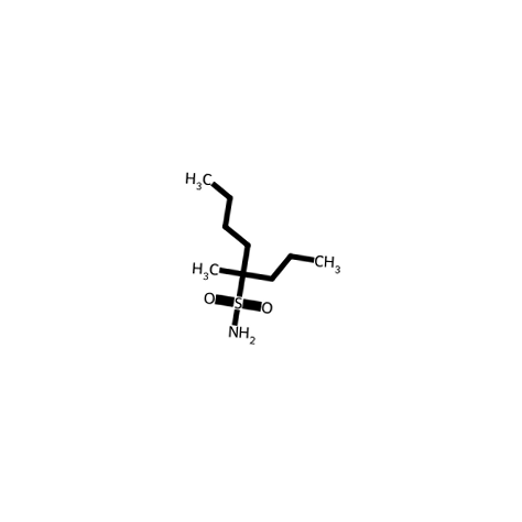 CCCCC(C)(CCC)S(N)(=O)=O